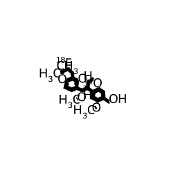 COc1cc2c(cc1CO)OC[C@H]1Oc3c(ccc4c3CC([18F])C(C)(C)O4)C(OC)[C@@H]21